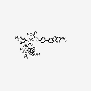 CC1(C)[C@H](NC(=O)/C(=N\O[C@@H](COc2ccc(-c3ccc4[nH]c(CN)nc4c3)cc2)C(=O)O)c2csc(N)n2)C(=O)N1OS(=O)(=O)O